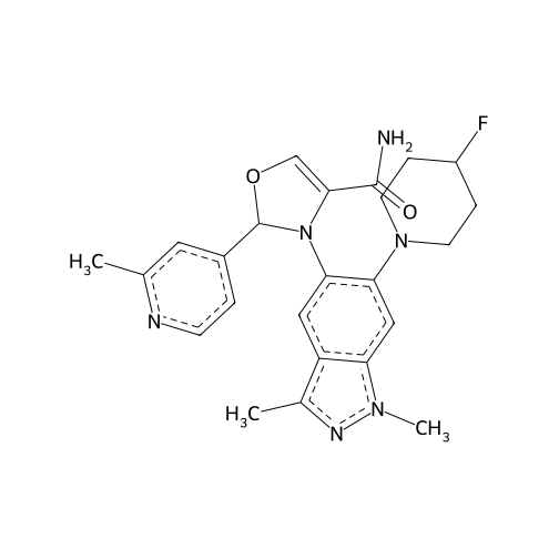 Cc1cc(C2OC=C(C(N)=O)N2c2cc3c(C)nn(C)c3cc2N2CCC(F)CC2)ccn1